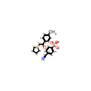 Cc1ccc(C(=O)C[S+]2CCCC2)cc1.N#Cc1ccc(S(=O)(=O)[O-])cc1